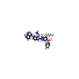 COc1cc(C(=O)N2CC3CCC(C3)C2)cc2nc(-c3cc4ccc(-c5cccc6ncccc56)nc4n3CC3CC3)n(C)c12